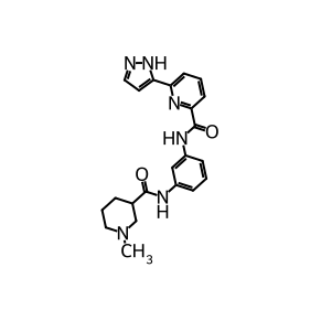 CN1CCCC(C(=O)Nc2cccc(NC(=O)c3cccc(-c4ccn[nH]4)n3)c2)C1